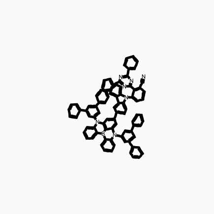 N#Cc1cccc(-n2c3ccccc3c3cc(-c4cc5c6c(c4)N(c4cc(-c7ccccc7)cc(-c7ccccc7)c4)c4ccccc4B6c4ccccc4N5c4cc(-c5ccccc5)cc(-c5ccccc5)c4)ccc32)c1-c1nc(-c2ccccc2)nc(-c2ccccc2)n1